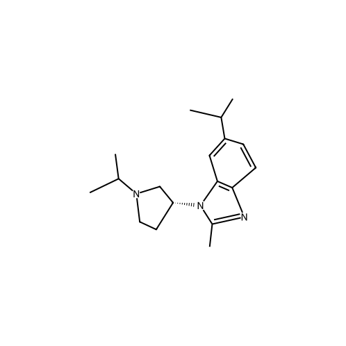 Cc1nc2ccc(C(C)C)cc2n1[C@@H]1CCN(C(C)C)C1